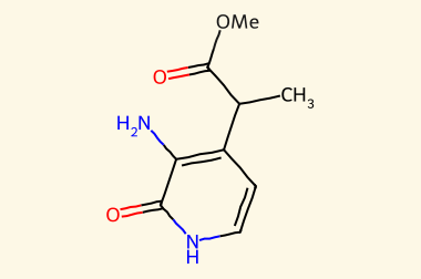 COC(=O)C(C)c1cc[nH]c(=O)c1N